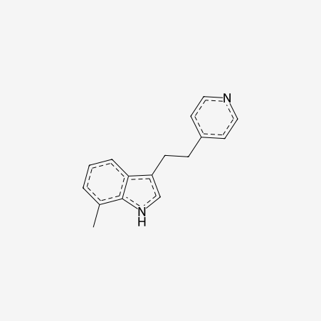 Cc1cccc2c(CCc3ccncc3)c[nH]c12